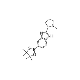 CN1CCCC1c1nc2cc(B3OC(C)(C)C(C)(C)S3)ccc2[nH]1